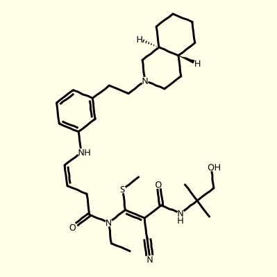 CCN(C(=O)C/C=C\Nc1cccc(CCN2CC[C@H]3CCCC[C@@H]3C2)c1)/C(SC)=C(\C#N)C(=O)NC(C)(C)CO